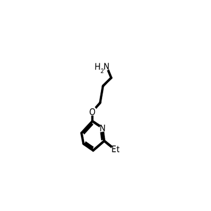 CCc1cccc(OCCCN)n1